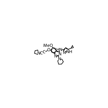 COc1cc2c(Nc3cc(C4CC4)[nH]n3)nc(N3CCCCC3)nc2cc1OCCCN1CCCC1